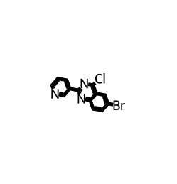 Clc1nc(-c2cccnc2)nc2ccc(Br)cc12